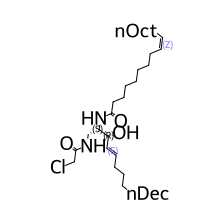 CCCCCCCC/C=C\CCCCCCCC(=O)N[C@@H](CNC(=O)CCl)[C@H](O)/C=C/CCCCCCCCCCCCC